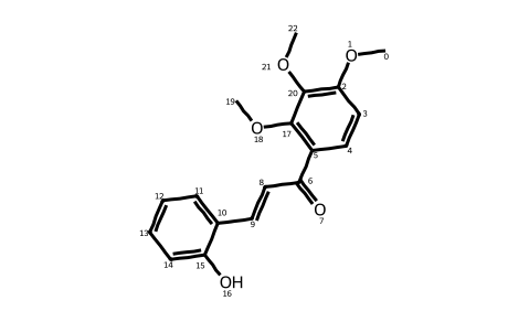 COc1ccc(C(=O)C=Cc2ccccc2O)c(OC)c1OC